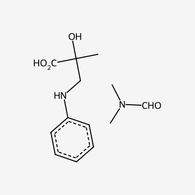 CC(O)(CNc1ccccc1)C(=O)O.CN(C)C=O